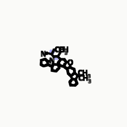 C#C/C(=C(\C(C#N)=C/C)n1c2ccccc2c2ccccc21)c1ccc2c(c1)oc1cc3c(cc12)-c1ccccc1C3(C)C